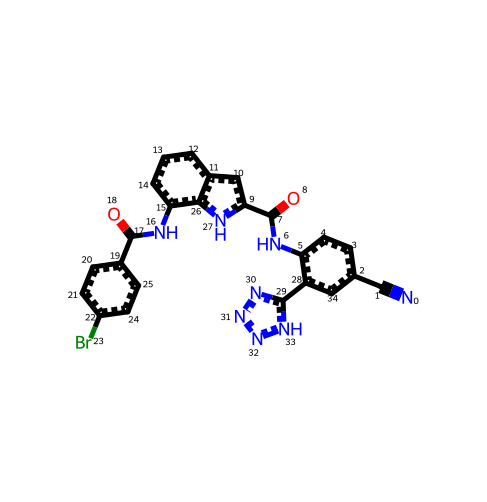 N#Cc1ccc(NC(=O)c2cc3cccc(NC(=O)c4ccc(Br)cc4)c3[nH]2)c(-c2nnn[nH]2)c1